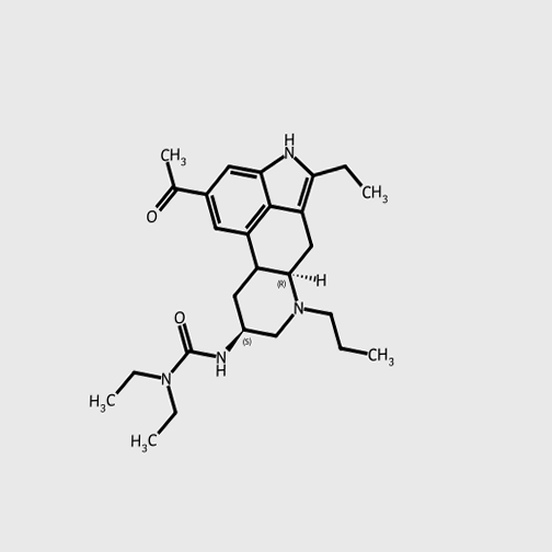 CCCN1C[C@@H](NC(=O)N(CC)CC)CC2c3cc(C(C)=O)cc4[nH]c(CC)c(c34)C[C@H]21